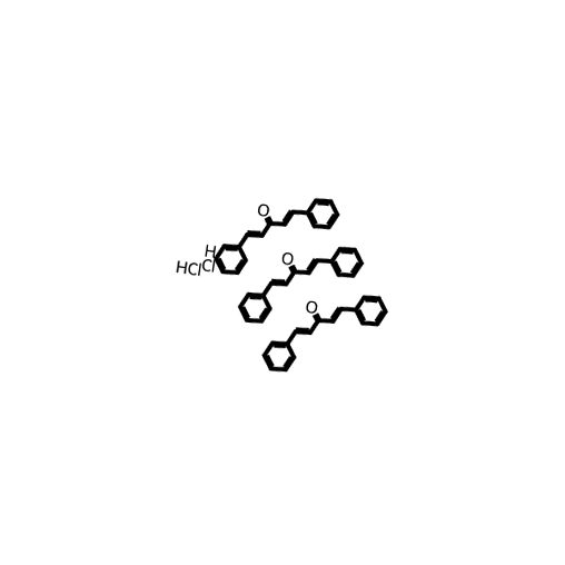 Cl.Cl.O=C(C=Cc1ccccc1)C=Cc1ccccc1.O=C(C=Cc1ccccc1)C=Cc1ccccc1.O=C(C=Cc1ccccc1)C=Cc1ccccc1